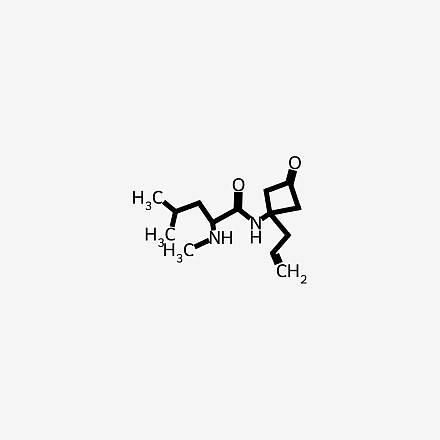 C=CCC1(NC(=O)C(CC(C)C)NC)CC(=O)C1